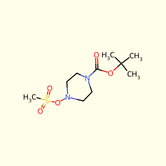 CC(C)(C)OC(=O)N1CCN(OS(C)(=O)=O)CC1